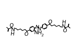 C=C(C)C(=O)NCCCCCC(=O)c1ccc(N=Nc2ccc(C(=O)CCCCCNC(=O)C(=C)C)cc2N)cc1